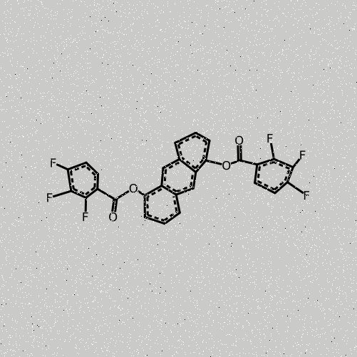 O=C(Oc1cccc2cc3c(OC(=O)c4ccc(F)c(F)c4F)cccc3cc12)c1ccc(F)c(F)c1F